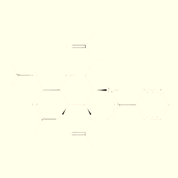 CC(=O)OCC1OC(OC(C)=O)[C@@H](NC(=O)c2ccccc2)[C@@H](OC(C)=O)[C@H]1OC(C)=O